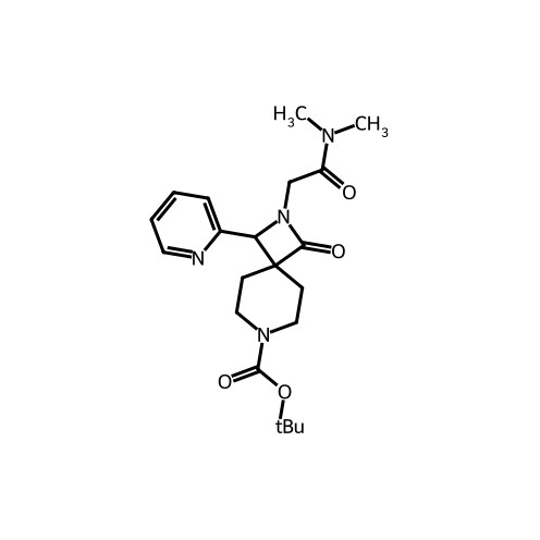 CN(C)C(=O)CN1C(=O)C2(CCN(C(=O)OC(C)(C)C)CC2)C1c1ccccn1